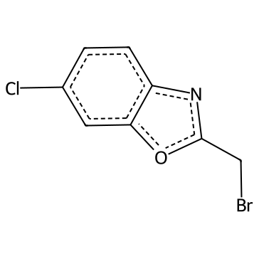 Clc1ccc2nc(CBr)oc2c1